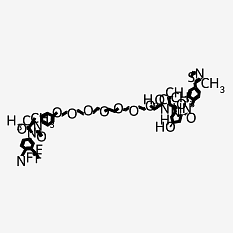 Cc1ncsc1-c1ccc(CNC(=O)[C@@H]2C[C@@H](O)CN2C(=O)C(NC(=O)COCCOCCOCCOCCOCCOCCOc2ccc(N3C(=O)N(c4ccc(C#N)c(C(F)(F)F)c4)C(=O)C3(C)C)cc2)C(C)(C)C)cc1